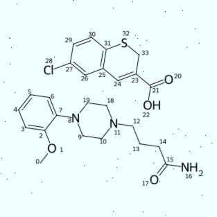 COc1ccccc1N1CCN(CCCC(N)=O)CC1.O=C(O)C1=Cc2cc(Cl)ccc2SC1